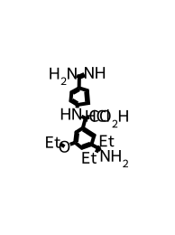 CCOc1cc(C(Nc2ccc(C(=N)N)cc2)C(=O)O)cc(C(N)(CC)CC)c1.Cl